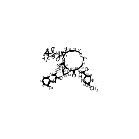 CCc1nc2cccc(F)c2nc1O[C@@H]1C[C@H]2C(=O)N[C@]3(C(=O)NS(=O)(=O)C4(C)CC4)C[C@H]3/C=C\CCCCC[C@H](NC(=O)c3cnc(C)cn3)C(=O)N2C1